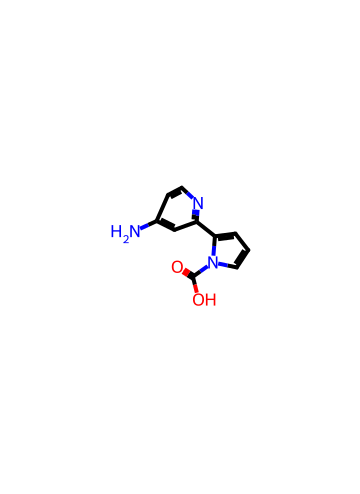 Nc1ccnc(-c2cccn2C(=O)O)c1